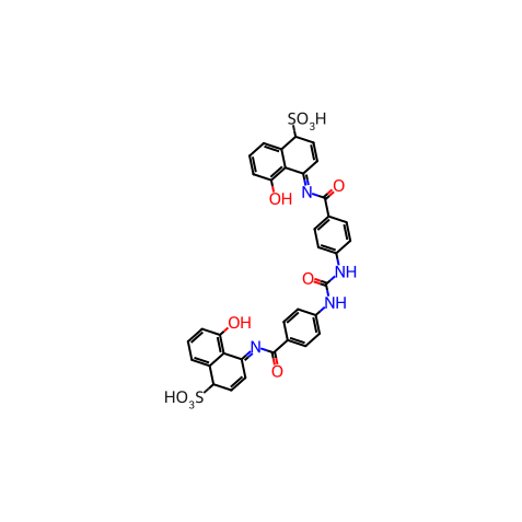 O=C(Nc1ccc(C(=O)N=C2C=CC(S(=O)(=O)O)c3cccc(O)c32)cc1)Nc1ccc(C(=O)N=C2C=CC(S(=O)(=O)O)c3cccc(O)c32)cc1